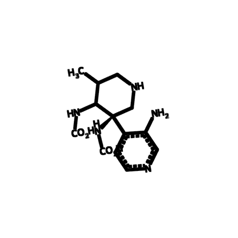 CC1CNC[C@](NC(=O)O)(c2ccncc2N)C1NC(=O)O